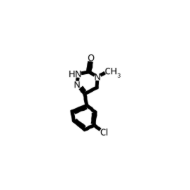 CN1CC(c2cccc(Cl)c2)=NNC1=O